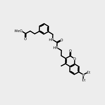 CCN(CC)c1ccc2c(C)c(CCNC(=O)NCc3cccc(CCC(=O)OC)c3)c(=O)oc2c1